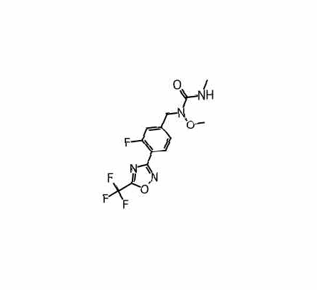 CNC(=O)N(Cc1ccc(-c2noc(C(F)(F)F)n2)c(F)c1)OC